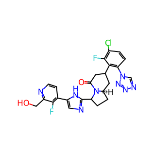 O=C1CC(c2c(-n3cnnn3)ccc(Cl)c2F)C[C@H]2CCC(c3ncc(-c4ccnc(CO)c4F)[nH]3)N12